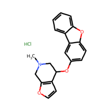 CN1Cc2occc2C(Oc2ccc3oc4ccccc4c3c2)C1.Cl